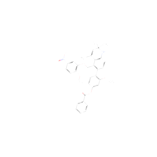 COc1ccc([N+](=O)[O-])cc1OCc1c(-c2ccc(OC(=O)c3ccccc3)cc2OC)ccc2c1C(C)=CC(C)(C)N2